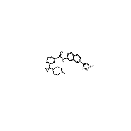 CN1CCN(C2(c3cc(C(=O)Nc4cc5cc(-c6cn(C)nn6)ccc5cn4)ccn3)CC2)CC1